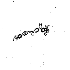 O=C(CCCN1CCN(c2ccc(C(F)(F)F)cc2)CC1)N1CCC(Nc2ccc([N+](=O)[O-])c(C(F)(F)F)c2)CC1